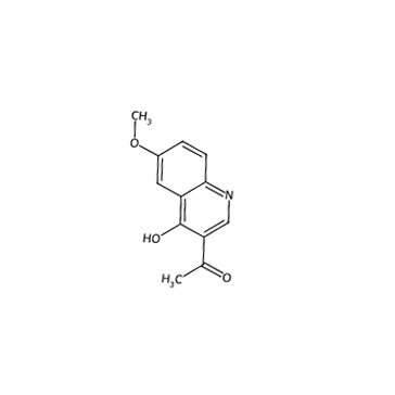 COc1ccc2ncc(C(C)=O)c(O)c2c1